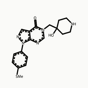 CSc1ccc(-n2ncc3c(=O)n(CC4(O)CCNCC4)cnc32)cc1